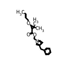 CC=CCOC1C(C(=O)OCn2ccc(Cc3ccccc3)c2)C1(C)C